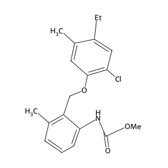 CCc1cc(Cl)c(OCc2c(C)cccc2NC(=O)OC)cc1C